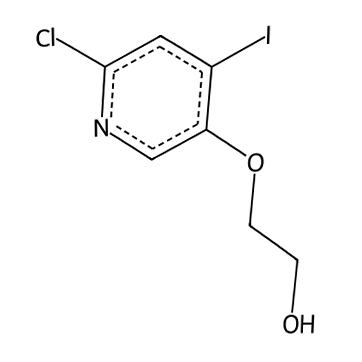 OCCOc1cnc(Cl)cc1I